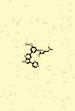 COc1cc(NC(=O)/C=C/CN(C)C)cc(-c2cnc3[nH]cc(-c4ccncn4)c3c2)c1